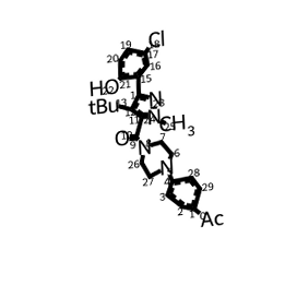 CC(=O)c1ccc(N2CCN(C(=O)c3c(C(C)(C)C)c(-c4cc(Cl)ccc4O)nn3C)CC2)cc1